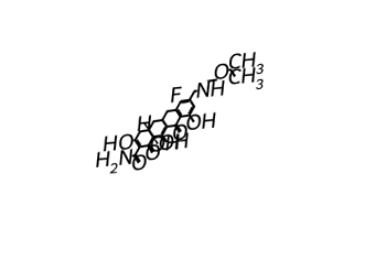 CC(C)OCCNCc1cc(O)c2c(c1F)CC1C[C@H]3CC(O)=C(C(N)=O)C(=O)[C@@]3(O)C(O)=C1C2=O